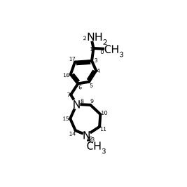 CC(N)c1ccc(CN2CCCN(C)CC2)cc1